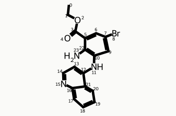 CCOC(=O)c1cc(Br)cc(Nc2ccnc3ccccc23)c1N